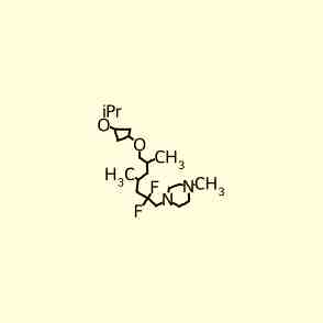 CC(COC1CC(OC(C)C)C1)CC(C)CC(F)(F)CN1CCN(C)CC1